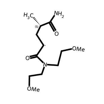 COCCN(CCOC)C(=O)[CH]C[C@H](C)C(N)=O